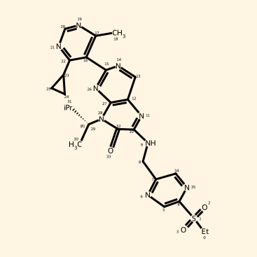 CCS(=O)(=O)c1cnc(CNc2nc3cnc(-c4c(C)ncnc4C4CC4)nc3n([C@H](C)C(C)C)c2=O)cn1